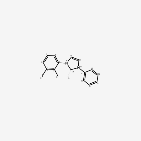 Cc1c(I)cccc1N1C=CN(c2ccccc2)[C@@H]1C